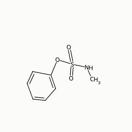 CNS(=O)(=O)Oc1ccccc1